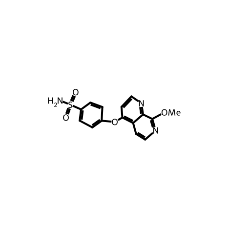 COc1nccc2c(Oc3ccc(S(N)(=O)=O)cc3)ccnc12